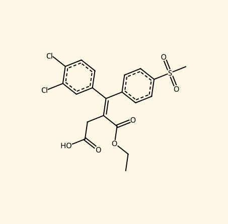 CCOC(=O)C(CC(=O)O)=C(c1ccc(S(C)(=O)=O)cc1)c1ccc(Cl)c(Cl)c1